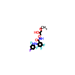 COCC(O)CONC(=O)c1cc(F)c(F)c(F)c1Nc1ccc(I)cc1F